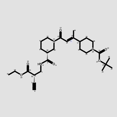 C#C[C@@H](CNC(=O)[C@@H]1CCCN(C(=O)/C=C(\C)C2CCN(C(=O)OC(C)(C)C)CC2)C1)C(=O)OCC